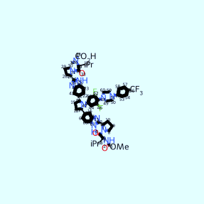 COC(=O)N[C@H](C(=O)N1CCC[C@H]1c1nc2cc([C@H]3CC[C@H](c4ccc5[nH]c([C@@H]6CCCN6C(=O)[C@H](C(C)C)N(C)C(=O)O)nc5c4)N3c3cc(F)c(N4CCN(c5ccc(C(F)(F)F)cc5)CC4)c(F)c3)ccc2[nH]1)C(C)C